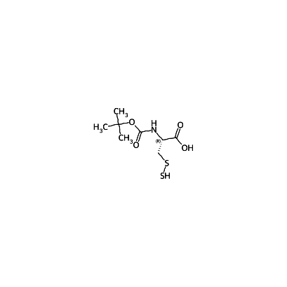 CC(C)(C)OC(=O)N[C@@H](CSS)C(=O)O